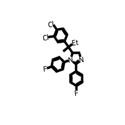 CCC(C)(c1ccc(Cl)c(Cl)c1)C1CN=C(c2ccc(F)cc2)N1c1ccc(F)cc1